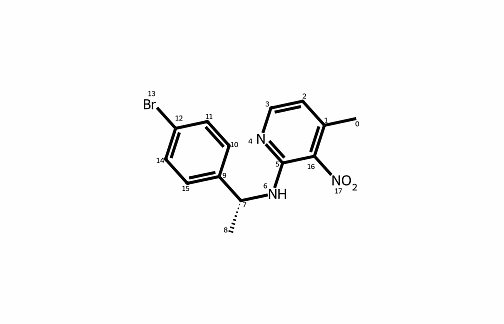 Cc1ccnc(N[C@H](C)c2ccc(Br)cc2)c1[N+](=O)[O-]